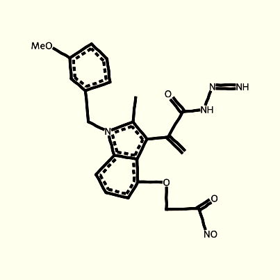 C=C(C(=O)NN=N)c1c(C)n(Cc2cccc(OC)c2)c2cccc(OCC(=O)N=O)c12